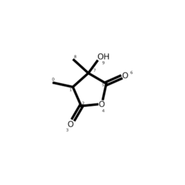 CC1C(=O)OC(=O)C1(C)O